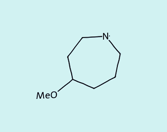 COC1CCC[N]CC1